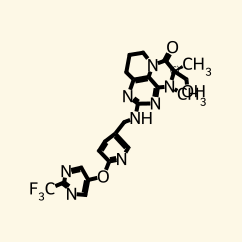 CN1c2nc(NCc3ccc(Oc4cnc(C(F)(F)F)nc4)nc3)nc3c2N(CCC3)C(=O)[C@]1(C)CO